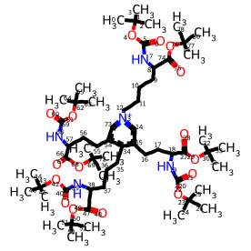 CC(C)(C)OC(=O)NC(CCCC[n+]1cc(CCC(NC(=O)OC(C)(C)C)C(=O)OC(C)(C)C)c(CCCC(NC(=O)OC(C)(C)C)C(=O)OC(C)(C)C)c(CCC(NC(=O)OC(C)(C)C)C(=O)OC(C)(C)C)c1)C(=O)OC(C)(C)C